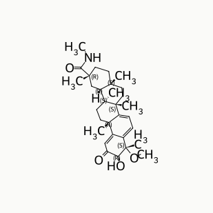 CNC(=O)[C@]1(C)CC[C@]2(C)CC[C@]3(C)C4=CC=C5C(=CC(=O)[C@H](O)[C@@]5(C)OC)[C@]4(C)CC[C@@]3(C)[C@@H]2C1